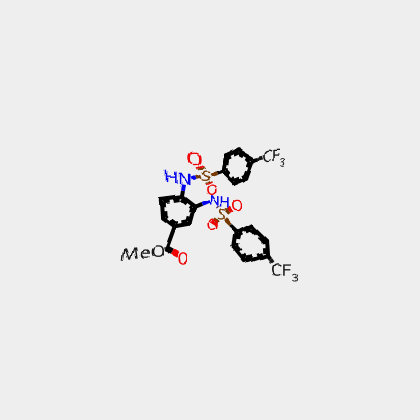 COC(=O)c1ccc(NS(=O)(=O)c2ccc(C(F)(F)F)cc2)c(NS(=O)(=O)c2ccc(C(F)(F)F)cc2)c1